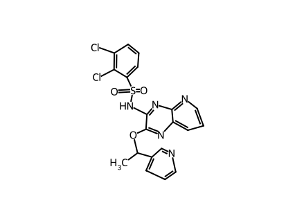 CC(Oc1nc2cccnc2nc1NS(=O)(=O)c1cccc(Cl)c1Cl)c1cccnc1